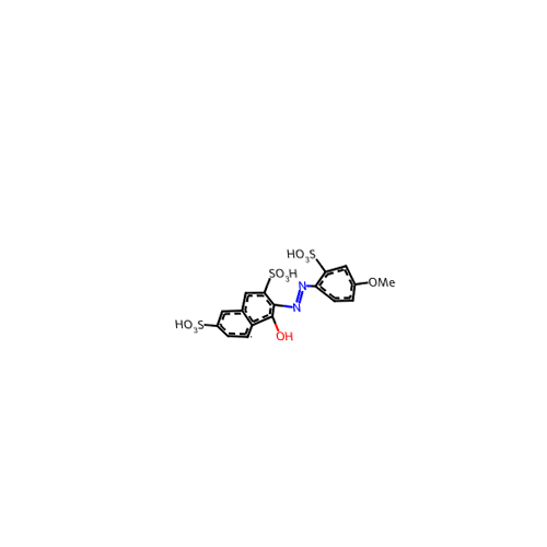 COc1ccc(/N=N/c2c(S(=O)(=O)O)cc3cc(S(=O)(=O)O)c[c]c3c2O)c(S(=O)(=O)O)c1